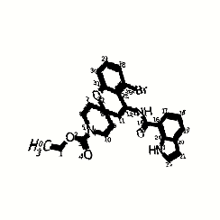 CCOC(=O)N1CCC2(CC1)CC(NC(=O)c1cccc3cc[nH]c13)c1c(Br)cccc1O2